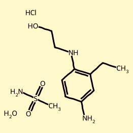 CCc1cc(N)ccc1NCCO.CS(N)(=O)=O.Cl.O